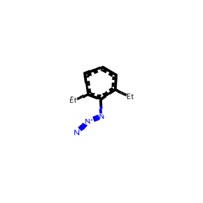 CCc1cccc(CC)c1N=[N+]=[N-]